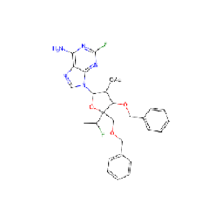 CC(=O)OC1C(n2cnc3c(N)nc(F)nc32)OC(COCc2ccccc2)(C(C)F)C1OCc1ccccc1